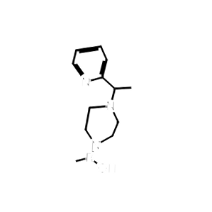 CB(O)N1CCN(C(C)c2ccccn2)CC1